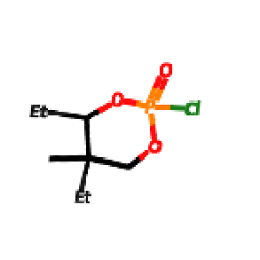 CCC1OP(=O)(Cl)OCC1(C)CC